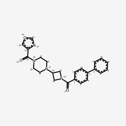 O=C(c1ccc(-c2ccccc2)cc1)N1CC(N2CCN(C(=O)c3cocn3)CC2)C1